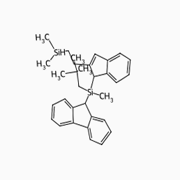 C[SiH](C)CCC1=Cc2ccccc2C1[Si](C)(CC(C)(C)C)C1c2ccccc2-c2ccccc21